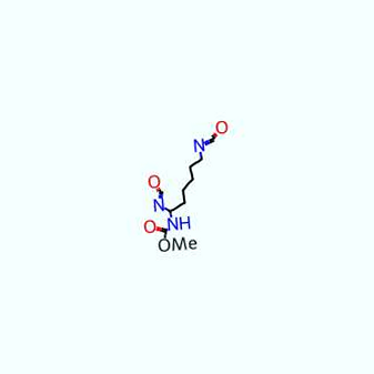 COC(=O)NC(CCCCCN=C=O)N=C=O